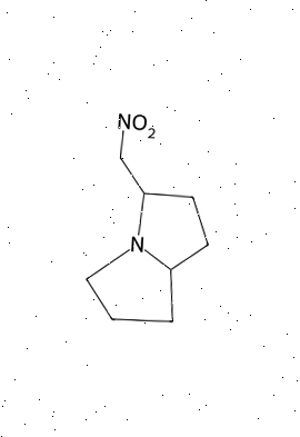 O=[N+]([O-])CC1CCC2CCCN21